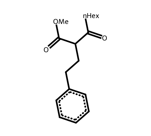 CCCCCCC(=O)C(CCc1ccccc1)C(=O)OC